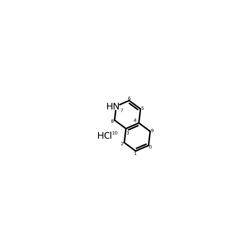 C1=CCC2=C(C=CNC2)C1.Cl